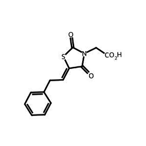 O=C(O)CN1C(=O)SC(=CCc2ccccc2)C1=O